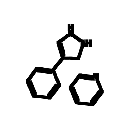 C1=C(c2ccccc2)CNN1.c1ccncc1